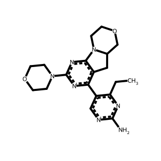 CCc1nc(N)ncc1-c1nc(N2CCOCC2)nc2c1CC1COCCN21